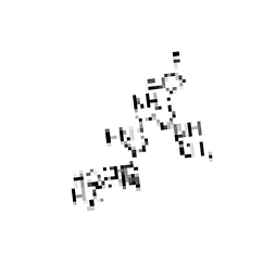 CSNc1cc(/C(C=N)=C2\C=CC(c3cnn(CC(C)(C)O)c3)=CN2)cc(-c2ccc(F)cc2F)c1